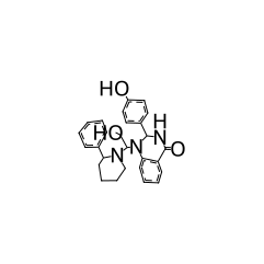 O=C1NC(c2ccc(O)cc2)N(C(CO)N2CCCCC2c2ccccc2)c2ccccc21